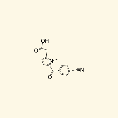 Cn1c(CC(=O)O)ccc1C(=O)c1ccc(C#N)cc1